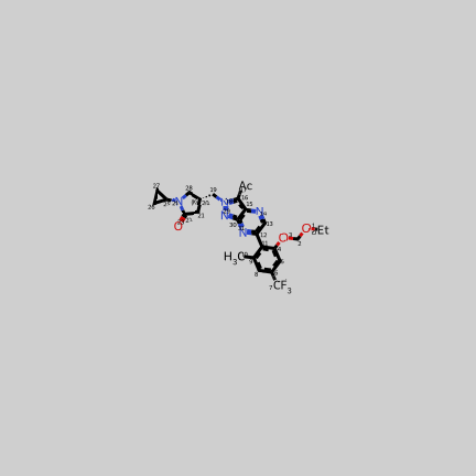 CCOCOc1cc(C(F)(F)F)cc(C)c1-c1cnc2c(C(C)=O)n(C[C@@H]3CC(=O)N(C4CC4)C3)nc2n1